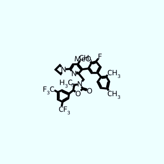 COc1c(F)cc(-c2ccc(C)cc2C)cc1-c1c(C)cc(N2CCC2)nc1CN1C(=O)OC(c2cc(C(F)(F)F)cc(C(F)(F)F)c2)[C@@H]1C